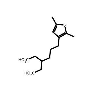 Cc1cc(CCCC(CC(=O)O)CC(=O)O)c(C)s1